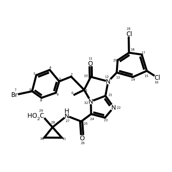 CC1(Cc2ccc(Br)cc2)C(=O)N(c2cc(Cl)cc(Cl)c2)c2ncc(C(=O)NC3(C(=O)O)CC3)n21